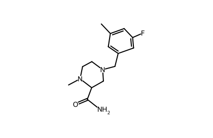 Cc1cc(F)cc(CN2CCN(C)C(C(N)=O)C2)c1